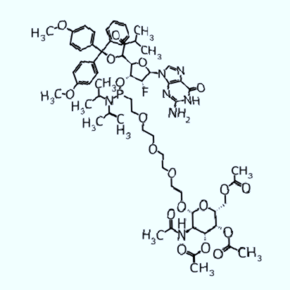 COc1ccc(C(OC(C(=O)C(C)C)[C@H]2O[C@@H](n3cnc4c(=O)[nH]c(N)nc43)[C@H](F)[C@@H]2OP(CCOCCOCCOCCO[C@@H]2O[C@H](COC(C)=O)[C@H](OC(C)=O)[C@H](OC(C)=O)[C@H]2NC(C)=O)N(C(C)C)C(C)C)(c2ccccc2)c2ccc(OC)cc2)cc1